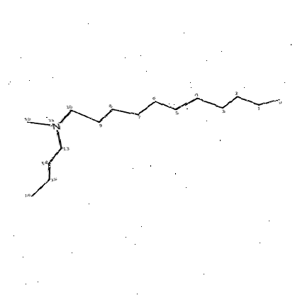 CCCCCCCCCCCN(C)CCCC